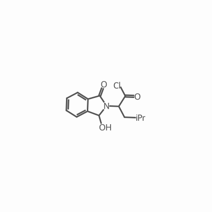 CC(C)CC(C(=O)Cl)N1C(=O)c2ccccc2C1O